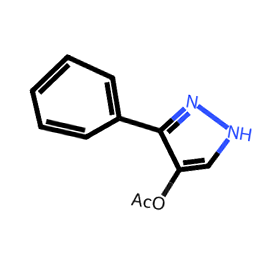 CC(=O)Oc1c[nH]nc1-c1ccccc1